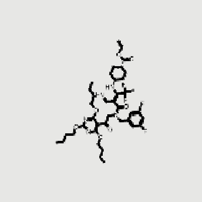 CCCCOc1nc(OCCCC)c(C(=O)CN(Cc2cc(F)cc(F)c2)C(=O)/C(C=N)=C(/N[C@H]2CC[C@H](C(=O)OCC)CC2)C(F)(F)F)c(OCCCC)n1